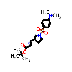 CN(C)c1ccc(S(=O)(=O)n2ccc(/C=C/C(=O)OC(C)(C)C)c2)cc1